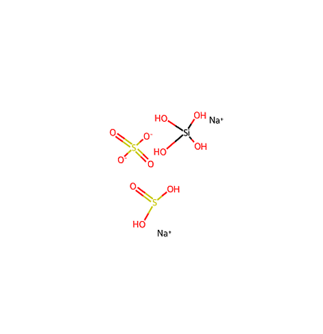 O=S(=O)([O-])[O-].O=S(O)O.O[Si](O)(O)O.[Na+].[Na+]